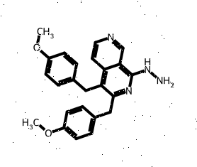 COc1ccc(Cc2nc(NN)c3cnccc3c2Cc2ccc(OC)cc2)cc1